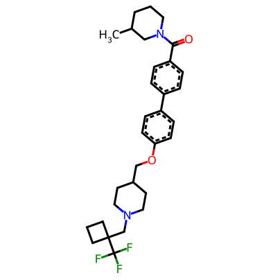 CC1CCCN(C(=O)c2ccc(-c3ccc(OCC4CCN(CC5(C(F)(F)F)CCC5)CC4)cc3)cc2)C1